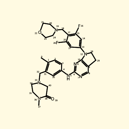 Cc1ccc(Nc2ncc3c(n2)N(c2cc(F)c(CN4CCOCC4)c(F)c2)CC3)cc1CN1CCN(C)C(=O)C1